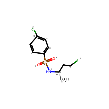 O=C(O)[C@@H](CCF)NS(=O)(=O)c1ccc(Cl)cc1